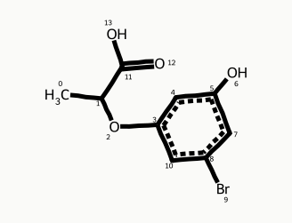 CC(Oc1cc(O)cc(Br)c1)C(=O)O